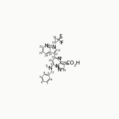 CN(Cc1ccccc1)c1cc(-c2cn([C@@H]3CC3(F)F)c3ncccc23)nc2c(C(=O)O)cnn12